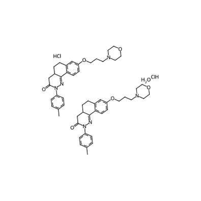 Cc1ccc(N2N=C3c4ccc(OCCCN5CCOCC5)cc4CCC3CC2=O)cc1.Cc1ccc(N2N=C3c4ccc(OCCCN5CCOCC5)cc4CCC3CC2=O)cc1.Cl.Cl.O